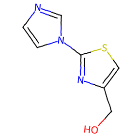 OCc1csc(-n2ccnc2)n1